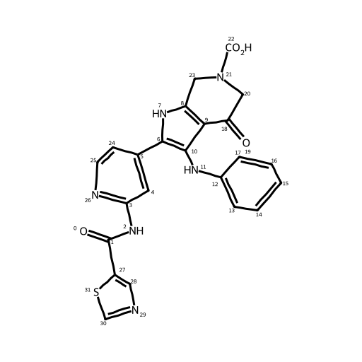 O=C(Nc1cc(-c2[nH]c3c(c2Nc2ccccc2)C(=O)CN(C(=O)O)C3)ccn1)c1cncs1